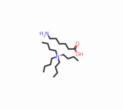 CCCC[N+](CCCC)(CCCC)CCCC.NCCCCCC(=O)O